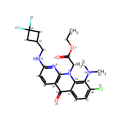 CCOC(=O)Cn1c2nc(NCC3CC(F)(F)C3)ccc2c(=O)c2ccc(Cl)c(N(C)C)c21